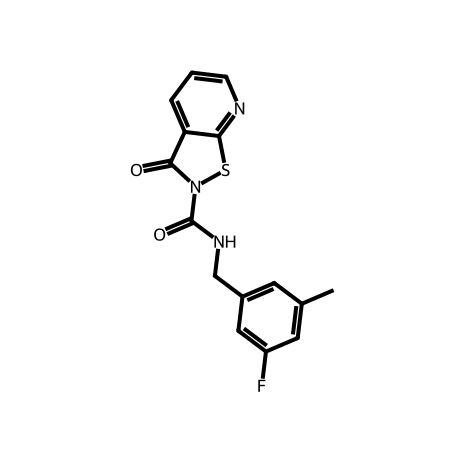 Cc1cc(F)cc(CNC(=O)n2sc3ncccc3c2=O)c1